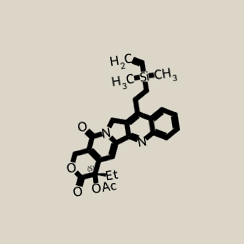 C=C[Si](C)(C)CCc1c2c(nc3ccccc13)-c1cc3c(c(=O)n1C2)COC(=O)[C@@]3(CC)OC(C)=O